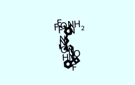 Nc1ncc(-c2cc3n(n2)CCO[C@@]32CCN(C(=O)NC3(c4ccccc4F)CCC3)C2)cc1OC(F)(F)F